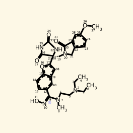 CCN(CC)CCN(C)/C(=N/O)c1ccc2oc([C@]3(CN4Cc5ccc(OC)cc5C4=O)NC(=O)NC3=O)cc2c1